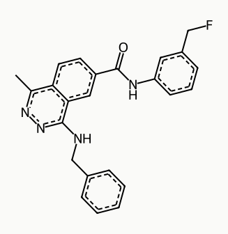 Cc1nnc(NCc2ccccc2)c2cc(C(=O)Nc3cccc(CF)c3)ccc12